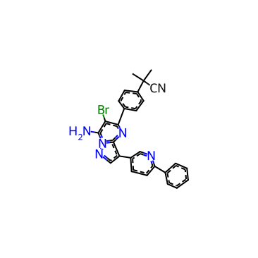 CC(C)(C#N)c1ccc(-c2nc3c(-c4ccc(-c5ccccc5)nc4)cnn3c(N)c2Br)cc1